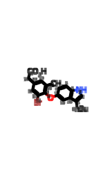 CCCCc1c[nH]c2ccc(Oc3c(C)cc(CC(=O)O)cc3Br)cc12